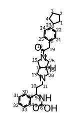 C1CCCC1.O=C(O)NC(CCN1CC2CN(C(=O)Cc3ccccc3)C[C@@H]2C1)c1ccccc1